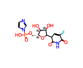 O=C1NC(=O)C(C2O[C@H](COP(=O)(O)n3ccnc3)[C@@H](O)[C@H]2O)C=C1F